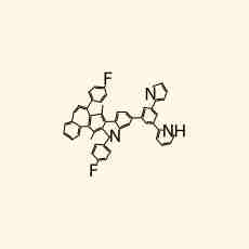 Cc1c2c(c(C)c3c1c(-c1ccc(F)cc1)nc1cc(-c4cc(C5=CC=CCN5)cc(-c5ccccn5)c4)ccc13)C(c1ccc(F)cc1)=C=Cc1ccccc1-2